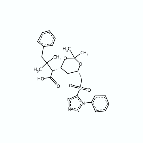 CC1(C)O[C@H](CS(=O)(=O)c2nnnn2-c2ccccc2)C[C@H](C(C(=O)O)C(C)(C)Cc2ccccc2)O1